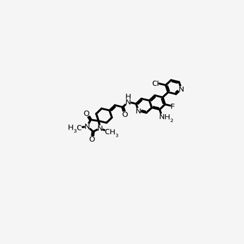 CN1C(=O)N(C)C2(CCC(=CC(=O)Nc3cc4cc(-c5cnccc5Cl)c(F)c(N)c4cn3)CC2)C1=O